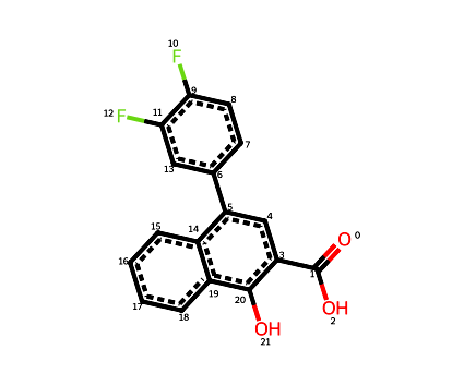 O=C(O)c1cc(-c2ccc(F)c(F)c2)c2ccccc2c1O